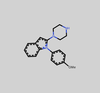 COc1ccc(-n2c(N3CCNCC3)cc3ccccc32)cc1